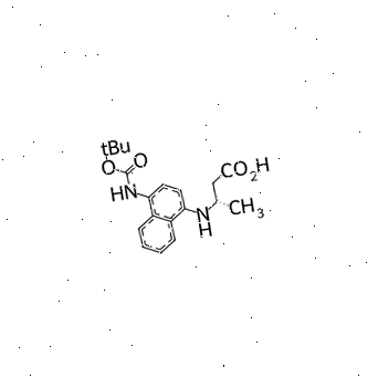 C[C@@H](CC(=O)O)Nc1ccc(NC(=O)OC(C)(C)C)c2ccccc12